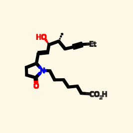 CCC#CC[C@@H](C)[C@@H](O)C=CC1CCC(=O)N1CCCCCCC(=O)O